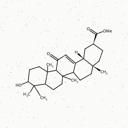 COC(=O)[C@H]1CC[C@]2(C)CCC3C(=CC(=O)C4C3(C)CCC3C(C)(C)C(O)CCC34C)[C@@H]2C1